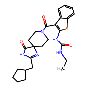 CCNC(=O)Nc1sc2ccccc2c1C(=O)N1CCC2(CC1)N=C(CC1CCCC1)NC2=O